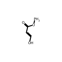 O=C(C=CO)OP